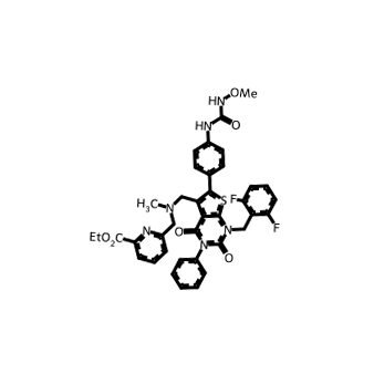 CCOC(=O)c1cccc(CN(C)Cc2c(-c3ccc(NC(=O)NOC)cc3)sc3c2c(=O)n(-c2ccccc2)c(=O)n3Cc2c(F)cccc2F)n1